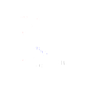 CC(=O)NCCS(=O)(=O)O.CC(N)Cc1ccccc1